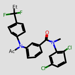 CCC(F)(F)c1ccc(N(C(C)=O)c2cccc(C(=O)N(C)c3cc(Cl)ccc3Cl)c2)cc1